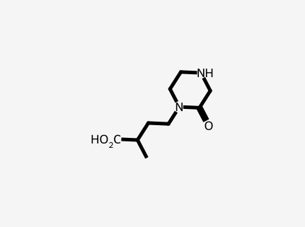 CC(CCN1CCNCC1=O)C(=O)O